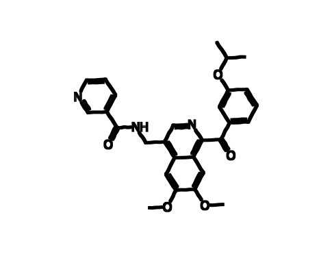 COc1cc2c(CNC(=O)c3cccnc3)cnc(C(=O)c3cccc(OC(C)C)c3)c2cc1OC